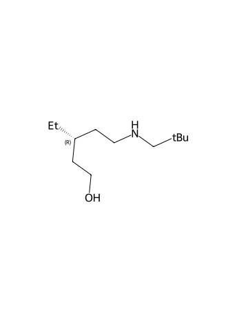 CC[C@@H](CCO)CCNCC(C)(C)C